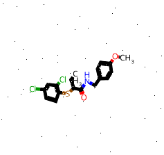 CCC(Sc1ccc(Cl)cc1Cl)C(=O)NCc1ccc(OC)cc1